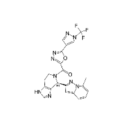 Cc1cccc2cc([C@H]3c4nc[nH]c4CCN3C(=O)c3nnc(-c4cnn(C(F)(F)F)c4)o3)nn12